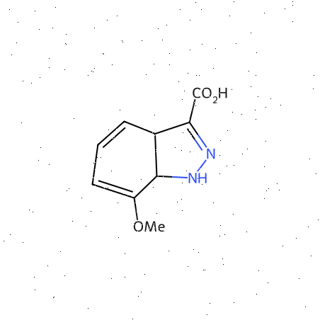 COC1=CC=CC2C(C(=O)O)=NNC12